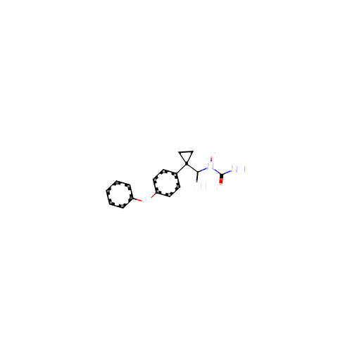 CC(N(O)C(N)=O)C1(c2ccc(Oc3ccccc3)cc2)CC1